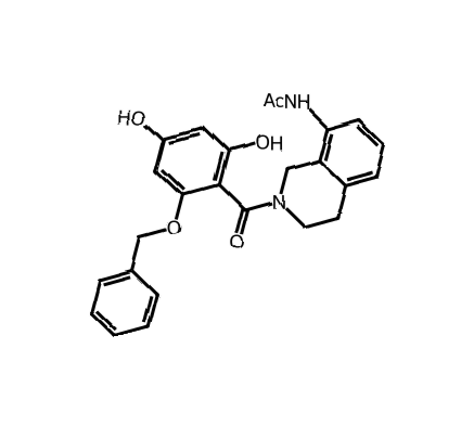 CC(=O)Nc1cccc2c1CN(C(=O)c1c(O)cc(O)cc1OCc1ccccc1)CC2